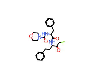 O=C(CF)C(CCc1ccccc1)NC(=O)C(Cc1ccccc1)NC(=O)N1CCOCC1